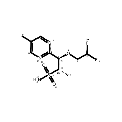 Cc1cnc([C@@H](OCC(F)F)[C@H](C)S(N)(=O)=O)nc1